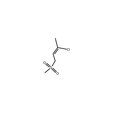 [CH2]S(=O)(=O)CC=C(C)Cl